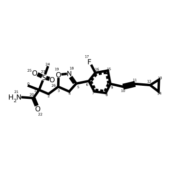 CC(CC1CC(c2ccc(C#CC3CC3)cc2F)=NO1)(C(N)=O)S(C)(=O)=O